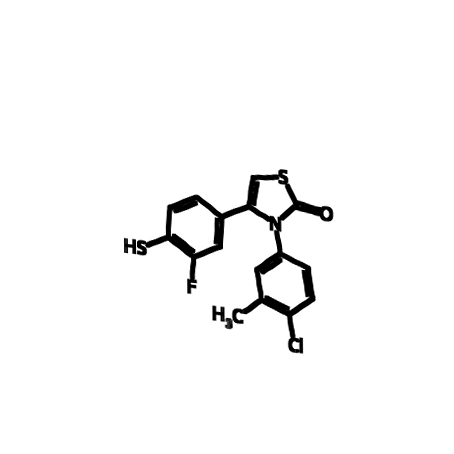 Cc1cc(-n2c(-c3ccc(S)c(F)c3)csc2=O)ccc1Cl